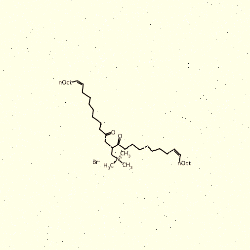 CCCCCCCC/C=C\CCCCCCCC(=O)CC(C[N+](C)(C)C)C(=O)CCCCCCC/C=C\CCCCCCCC.[Br-]